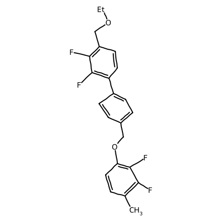 CCOCc1ccc(-c2ccc(COc3ccc(C)c(F)c3F)cc2)c(F)c1F